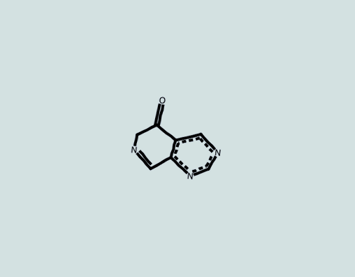 O=C1CN=Cc2ncncc21